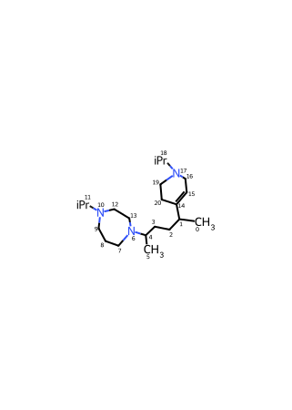 CC(CCC(C)N1CCCN(C(C)C)CC1)C1=CCN(C(C)C)CC1